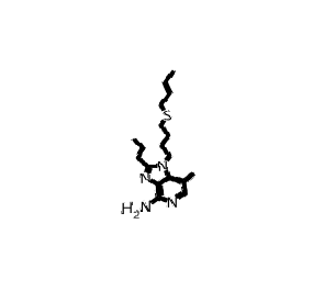 CCCCSCCCCn1c(CCC)nc2c(N)ncc(C)c21